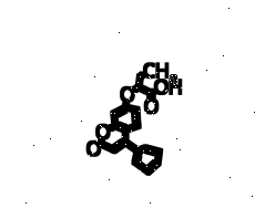 CCC(Oc1ccc2c(-c3ccccc3)cc(=O)oc2c1)C(=O)O